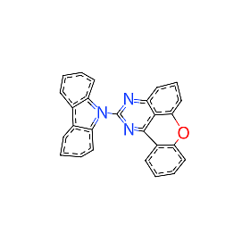 c1ccc2c(c1)Oc1cccc3nc(-n4c5ccccc5c5ccccc54)nc-2c13